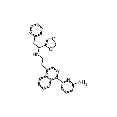 Nc1cccc(-c2ccc(CCNC(Cc3ccccc3)C3=COCO3)c3ccccc23)n1